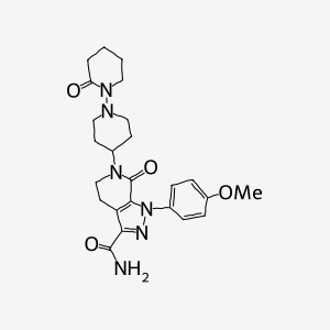 COc1ccc(-n2nc(C(N)=O)c3c2C(=O)N(C2CCN(N4CCCCC4=O)CC2)CC3)cc1